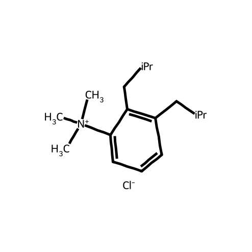 CC(C)Cc1cccc([N+](C)(C)C)c1CC(C)C.[Cl-]